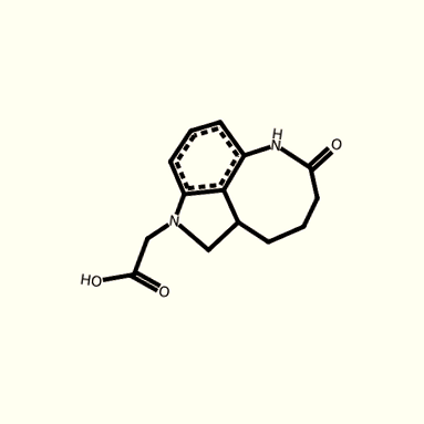 O=C(O)CN1CC2CCCC(=O)Nc3cccc1c32